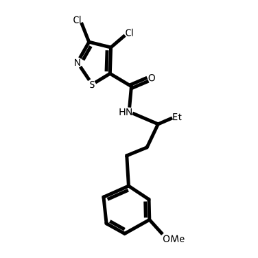 CCC(CCc1cccc(OC)c1)NC(=O)c1snc(Cl)c1Cl